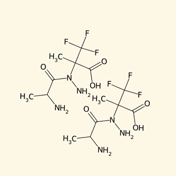 CC(N)C(=O)N(N)C(C)(C(=O)O)C(F)(F)F.CC(N)C(=O)N(N)C(C)(C(=O)O)C(F)(F)F